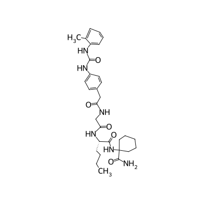 CCCC[C@H](NC(=O)CNC(=O)Cc1ccc(NC(=O)Nc2ccccc2C)cc1)C(=O)NC1(C(N)=O)CCCCC1